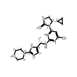 C[C@H](Nc1nc(Cl)cc(N2C(=O)OC[C@@H]2C2CC2)n1)c1cnc(N2CCOCC2)s1